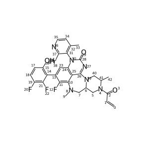 C=CC(=O)N1CC2CN(C)c3c(F)c(-c4c(O)ccc(F)c4F)cc4c3c(nc(=O)n4-c3c(C)ccnc3C(C)C)N2CC1C